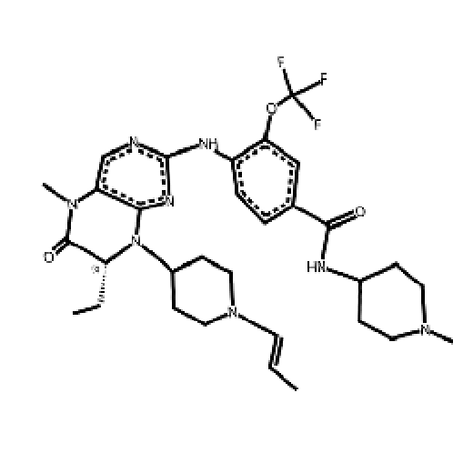 CC=CN1CCC(N2c3nc(Nc4ccc(C(=O)NC5CCN(C)CC5)cc4OC(F)(F)F)ncc3N(C)C(=O)[C@H]2CC)CC1